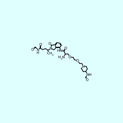 CC(CCC(=O)NC=O)N1Cc2c(NC(=O)C(N)COCCOCCN3CCC(NC=O)CC3)cccc2C1=O